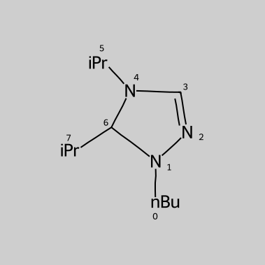 CCCCN1N=CN(C(C)C)C1C(C)C